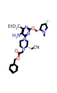 CCOC(=O)c1nc(OC[C@@H]2C[C@@H](F)CN2C)nc(N2CCN(CC(=O)OCc3ccccc3)[C@@H](CC#N)C2)c1N